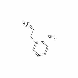 C=CCc1ccccc1.[SiH4]